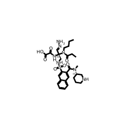 CCCCN(C(=O)CC)[C@](C=NN)(CNS(=O)(=O)c1cc2ccccc2cc1C(=O)N(C)[C@H]1CCCNC1)NC(=O)C(=O)O